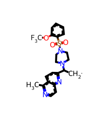 [CH2]C(c1ccc2c(C)nccc2n1)N1CCN(S(=O)(=O)c2ccccc2OC(F)(F)F)CC1